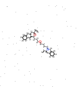 C=CC(=C)N(CCCCOCCCCC(=C)C(CC(=O)C=C)Cc1ccccc1)Cc1ccccc1